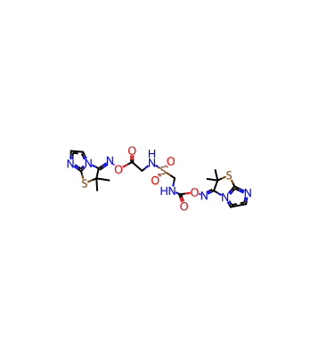 CC1(C)Sc2nccn2C1=NOC(=O)CNS(=O)(=O)CNC(=O)ON=C1n2ccnc2SC1(C)C